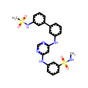 CNS(=O)(=O)c1cccc(Nc2cc(Nc3cccc(-c4cccc(NS(C)(=O)=O)c4)c3)ncn2)c1